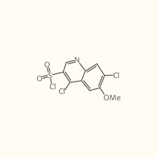 COc1cc2c(Cl)c(S(=O)(=O)Cl)cnc2cc1Cl